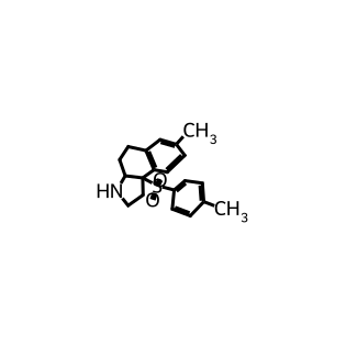 Cc1ccc(S(=O)(=O)C23CCNC2CCc2cc(C)ccc23)cc1